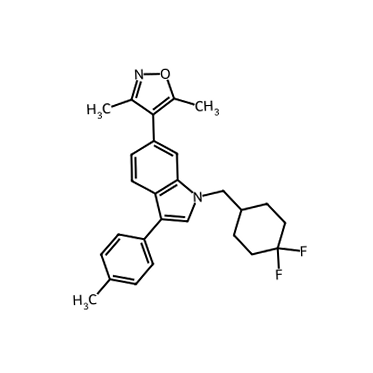 Cc1ccc(-c2cn(CC3CCC(F)(F)CC3)c3cc(-c4c(C)noc4C)ccc23)cc1